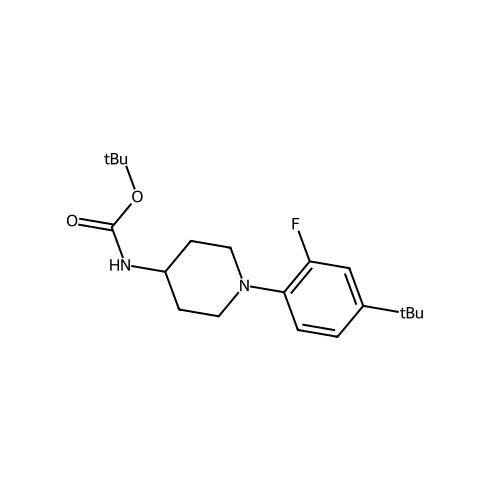 CC(C)(C)OC(=O)NC1CCN(c2ccc(C(C)(C)C)cc2F)CC1